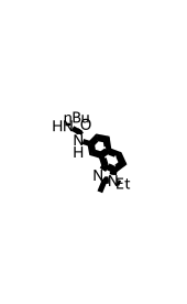 CCCCNC(=O)Nc1ccc2ccc3c(nc(C)n3CC)c2c1